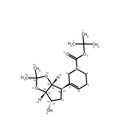 CC(C)(C)OC(=O)N1CCC=C([C@H]2C[C@H](O)[C@@H]3OC(C)(C)O[C@@H]32)C1